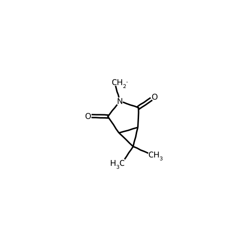 [CH2]N1C(=O)C2C(C1=O)C2(C)C